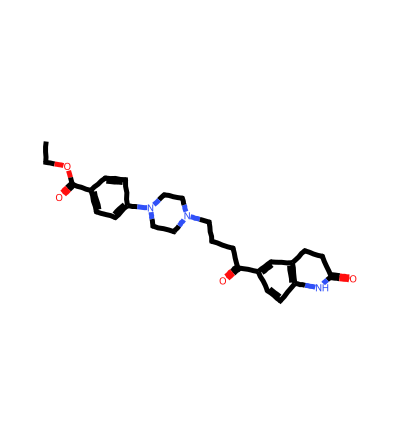 CCOC(=O)c1ccc(N2CCN(CCCC(=O)c3ccc4c(c3)CCC(=O)N4)CC2)cc1